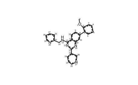 COc1ccccc1-c1ccc2c(NCc3ccccn3)nc(-c3cccnc3)nc2c1